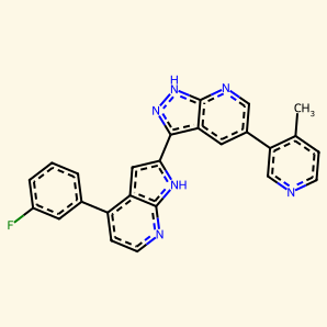 Cc1ccncc1-c1cnc2[nH]nc(-c3cc4c(-c5cccc(F)c5)ccnc4[nH]3)c2c1